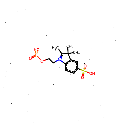 CC1=[N+](CCO[PH](=O)O)c2ccc(S(=O)(=O)O)cc2C1(C)C